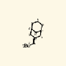 CC(C)(C)C=C1CC2CCCC(C1)C2